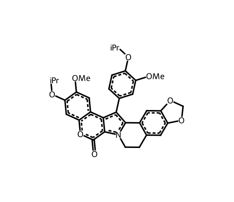 COc1cc(-c2c3n(c4c(=O)oc5cc(OC(C)C)c(OC)cc5c24)CCc2cc4c(cc2-3)OCO4)ccc1OC(C)C